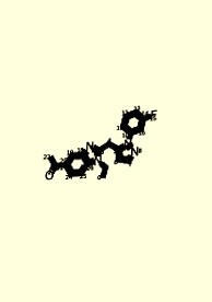 CCn1c(Cc2ccnn2-c2cccc(F)c2)nc2cc(C(C)=O)ccc21